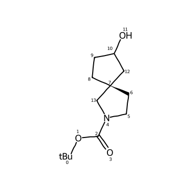 CC(C)(C)OC(=O)N1CC[C@]2(CCC(O)C2)C1